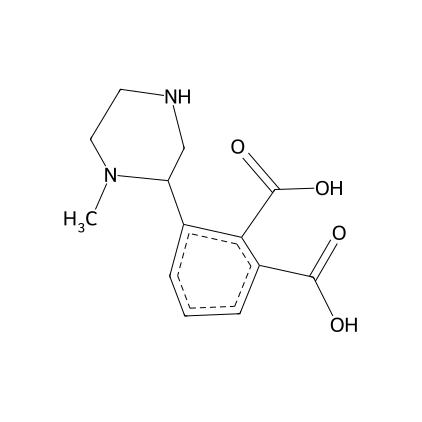 CN1CCNCC1c1cccc(C(=O)O)c1C(=O)O